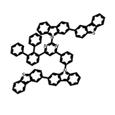 c1ccc(-c2cccc(-c3cc(-c4cccc(-n5c6ccccc6c6ccc(-c7ccc8sc9ccccc9c8c7)cc65)c4)nc(-n4c5ccccc5c5ccc(-c6ccc7sc8ccccc8c7c6)cc54)n3)c2-c2ccccc2)cc1